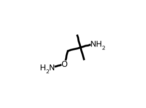 CC(C)(N)CON